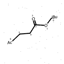 CCC(C)OC(=O)CCC(C)=O